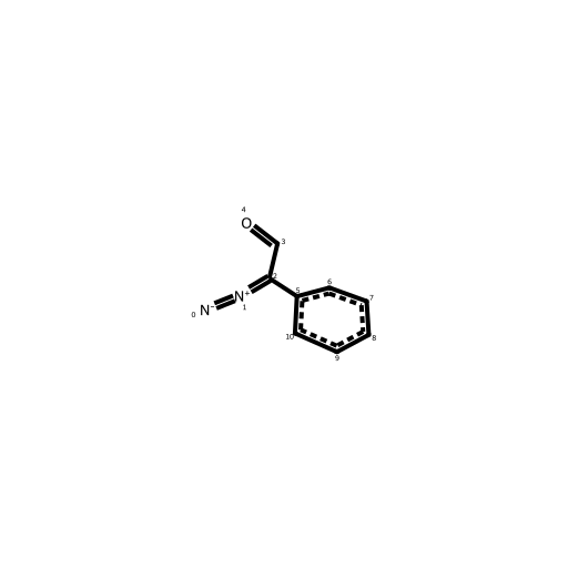 [N-]=[N+]=C(C=O)c1ccccc1